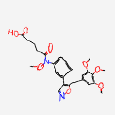 COc1cc(-c2oncc2-c2cccc(N(OC)C(=O)CCCC(=O)O)c2)cc(OC)c1OC